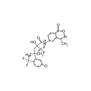 Cc1noc(=O)c2ccc(NC(=O)C(O)(CC(C)(C)c3cc(Cl)ccc3C(F)(F)F)C(F)(F)F)cc12